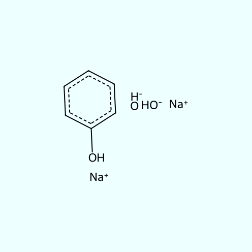 Oc1ccccc1.[Na+].[Na+].[OH-].[OH-]